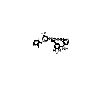 Cc1cccc(F)c1CN1CC(N/C=C(\N=N)c2ccc(N)c(C(=N)c3ccncc3)c2)CC(F)(F)C1